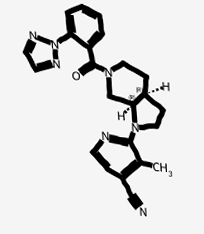 Cc1c(C#N)ccnc1N1CC[C@@H]2CCN(C(=O)c3ccccc3-n3nccn3)C[C@@H]21